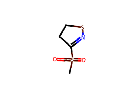 CS(=O)(=O)C1=NSCC1